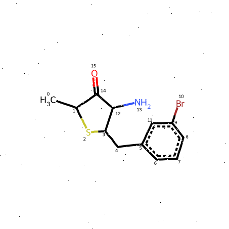 CC1SC(Cc2cccc(Br)c2)C(N)C1=O